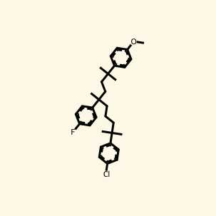 COc1ccc(C(C)(C)CCC(C)(CCCC(C)(C)c2ccc(Cl)cc2)c2ccc(F)cc2)cc1